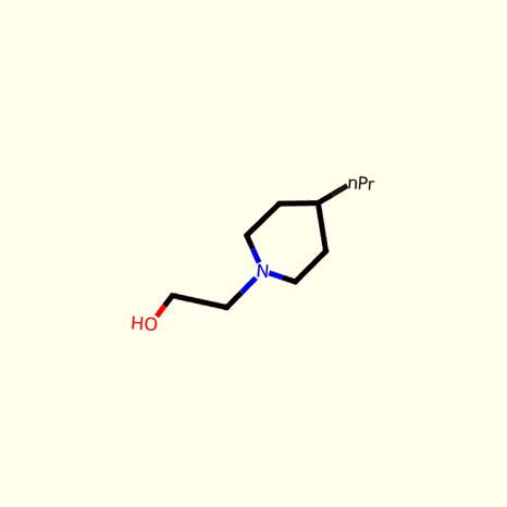 CCCC1CCN(CCO)CC1